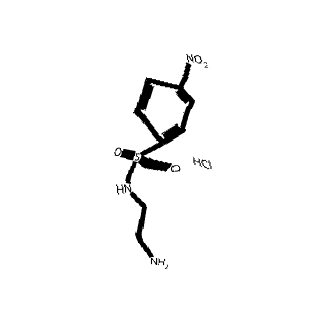 Cl.NCCNS(=O)(=O)c1ccc([N+](=O)[O-])cc1